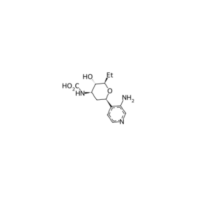 CC[C@H]1O[C@@H](c2ccncc2N)C[C@@H](NC(=O)O)[C@@H]1O